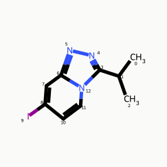 CC(C)c1nnc2cc(I)ccn12